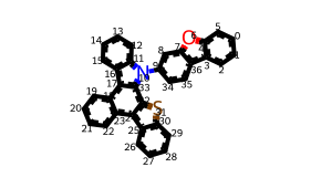 c1ccc2c(c1)oc1cc(-n3c4ccccc4c4c5ccccc5c5c6ccccc6sc5c43)ccc12